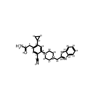 N#Cc1cc(CC(N)=O)c(C2CC2)cc1N1CCN(Cc2nc3ccccc3s2)CC1